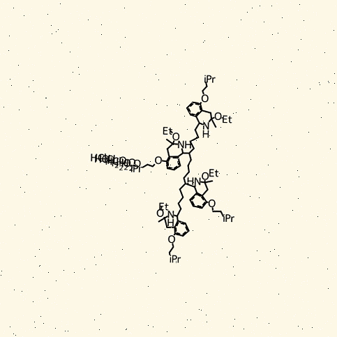 CCOC1(C)Cc2c(OCCC(C)C)cccc2C(CCCCC(CCCCC(CCCCC2NC(C)(OCC)Cc3c(OCCC(C)C)cccc32)C2NC(C)(OCC)Cc3c(OCCC(C)C)cccc32)C2NC(C)(OCC)Cc3c(OCCC(C)C)cccc32)N1.Cl.Cl.Cl.Cl.O.O.O.O